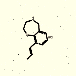 CC=Cc1cccc2c1OCCNC2.Cl